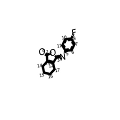 O=C1OC(=Nc2ccc(F)cc2)C2=C1CCCC2